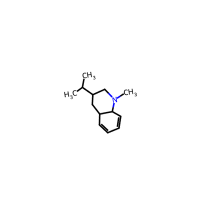 CC(C)C1CC2C=CC=CC2N(C)C1